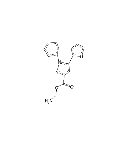 CCOC(=O)c1cc(-c2ccco2)n(-c2ccccc2)n1